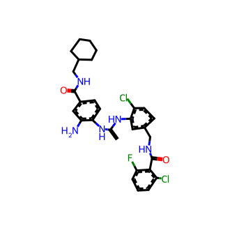 C=C(Nc1ccc(C(=O)NCC2CCCCC2)cc1N)Nc1cc(CNC(=O)c2c(F)cccc2Cl)ccc1Cl